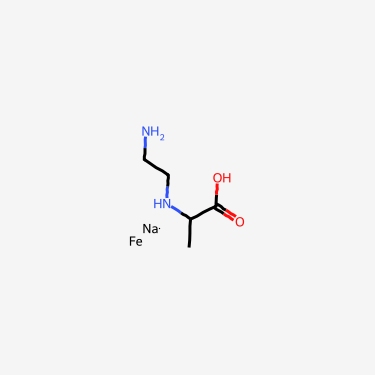 CC(NCCN)C(=O)O.[Fe].[Na]